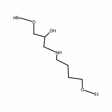 CCCCOCC(O)CNCCCCOCC